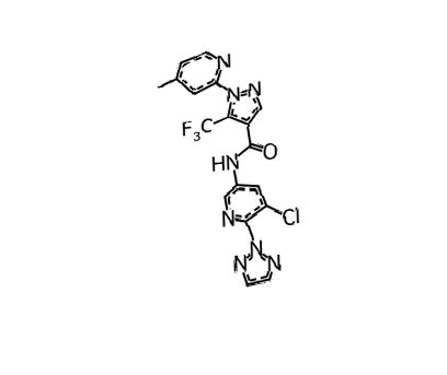 Cc1ccnc(-n2ncc(C(=O)Nc3cnc(-n4nccn4)c(Cl)c3)c2C(F)(F)F)c1